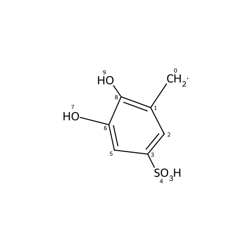 [CH2]c1cc(S(=O)(=O)O)cc(O)c1O